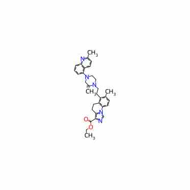 CCOC(=O)c1ncn2c1CCc1c-2ccc(C)c1CCN1CCN(c2cccc3nc(C)ccc23)C[C@H]1C